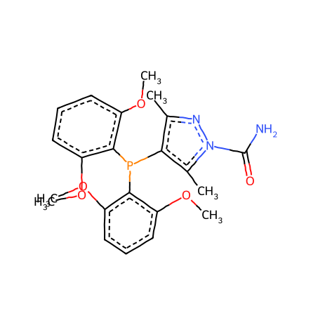 COc1cccc(OC)c1P(c1c(OC)cccc1OC)c1c(C)nn(C(N)=O)c1C